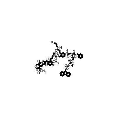 C#CCCNC(=O)CCc1cc(NC(=O)CNC(=O)[C@H](Cc2ccccc2)NC(=O)CNC(=O)CNC(=O)OCC2c3ccccc3-c3ccccc32)ccc1COC(=O)N(C)CCCc1c(C)c(F)cc2nc3c(c(C)c12)Cn1c-3cc2c(c1=O)COC(=O)[C@]2(O)CC